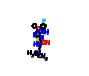 CN(C)CCCNC(O)c1nc2c(Nc3ccc(F)cc3OC3CCCC3)ncnc2s1